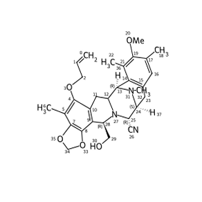 C=CCOc1c(C)c2c(c3c1CC1[C@H]4c5c(cc(C)c(OC)c5C)C[C@@H]([C@H](C#N)N1[C@H]3CO)N4C)OCO2